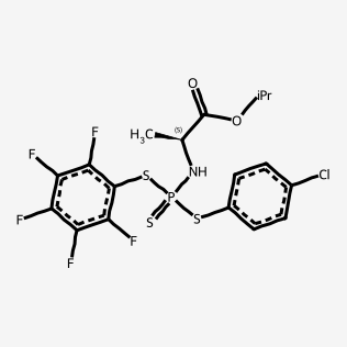 CC(C)OC(=O)[C@H](C)NP(=S)(Sc1ccc(Cl)cc1)Sc1c(F)c(F)c(F)c(F)c1F